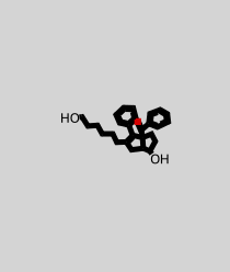 C=C(c1ccccc1)C12CCC(O)C1CC(CCCCCCO)=C2c1ccccc1